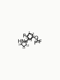 Fc1ccc(OC(F)F)cc1[C@H]1CCCN1